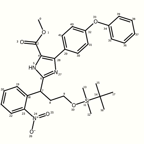 COC(=O)c1[nH]c(C(CCO[Si](C)(C)C(C)(C)C)c2ccccc2[N+](=O)[O-])nc1-c1ccc(Oc2ccccc2)cc1